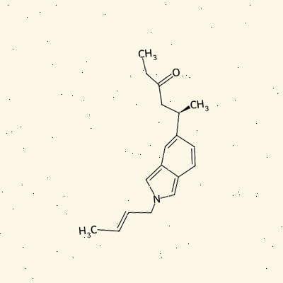 C/C=C/Cn1cc2ccc([C@H](C)CC(=O)CC)cc2c1